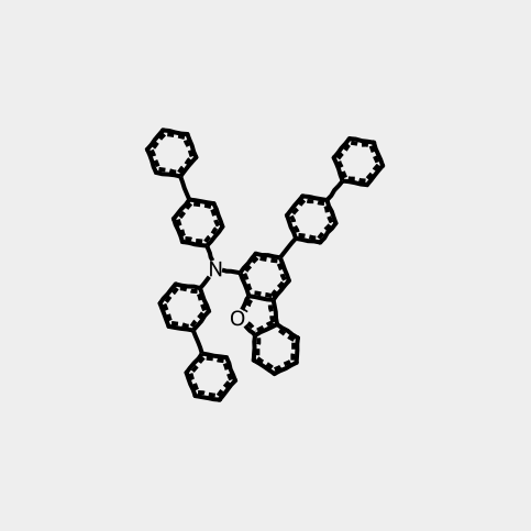 c1ccc(-c2ccc(-c3cc(N(c4ccc(-c5ccccc5)cc4)c4cccc(-c5ccccc5)c4)c4oc5ccccc5c4c3)cc2)cc1